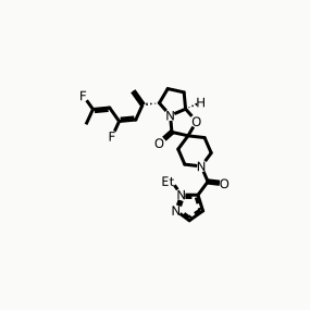 C=C(/C=C(F)\C=C(/C)F)[C@@H]1CC[C@H]2OC3(CCN(C(=O)c4ccnn4CC)CC3)C(=O)N21